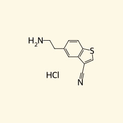 Cl.N#Cc1csc2ccc(CCN)cc12